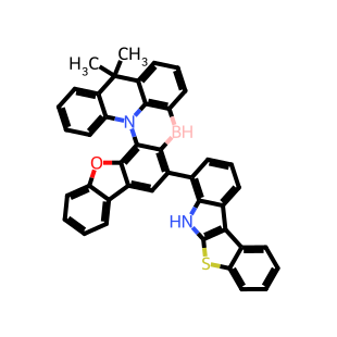 CC1(C)c2ccccc2N2c3c(cccc31)Bc1c(-c3cccc4c3[nH]c3sc5ccccc5c34)cc3c(oc4ccccc43)c12